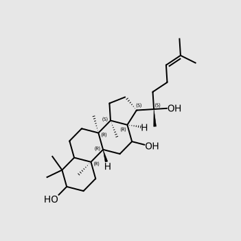 CC(C)=CCC[C@](C)(O)[C@H]1CC[C@@]2(C)[C@@H]1C(O)C[C@@H]1[C@@]3(C)CCC(O)C(C)(C)C3CC[C@]12C